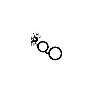 Cc1nc(N)ccc1NC1CCCCCCCC(CC2CCCCCCCCCCCCCCC2)CCCC1